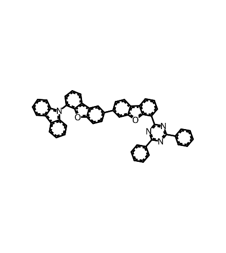 c1ccc(-c2nc(-c3ccccc3)nc(-c3cccc4c3oc3cc(-c5ccc6oc7c(-n8c9ccccc9c9ccccc98)cccc7c6c5)ccc34)n2)cc1